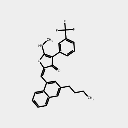 CCCCc1cc(/C=C2/OC(NC)=C(c3cccc(C(F)(F)F)c3)C2=O)c2ccccc2c1